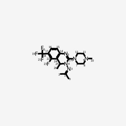 CC(C)=NN1C(N2CCN(C)CC2)=Nc2ccc(C(F)(F)F)c(F)c2C1C